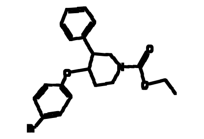 CCOC(=O)N1CCC(Oc2ccc(Br)cc2)C(c2ccccc2)C1